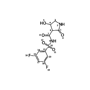 O=C1NCC(O)C1C(=O)NS(=O)(=O)c1cc(F)cc(F)c1